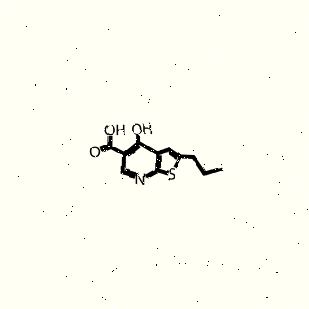 CCCc1cc2c(O)c(C(=O)O)cnc2s1